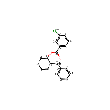 O=C(OC1CCCCC1[Se]c1ccccc1)c1cccc(Cl)c1